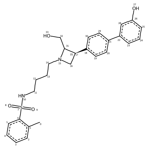 Cc1ccccc1S(=O)(=O)NCCCCN1C[C@H](c2ccc(-c3cccc(O)c3)cc2)C1CO